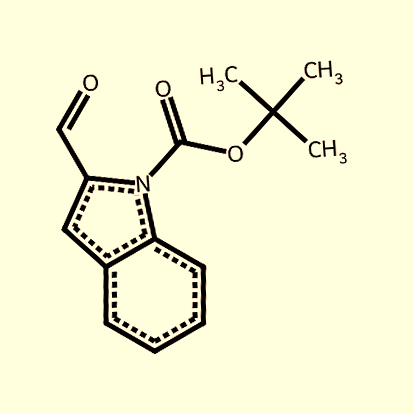 CC(C)(C)OC(=O)n1c(C=O)cc2ccccc21